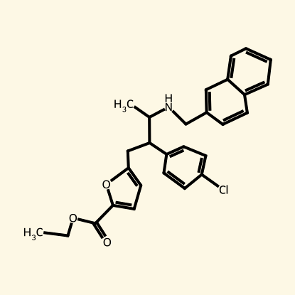 CCOC(=O)c1ccc(CC(c2ccc(Cl)cc2)C(C)NCc2ccc3ccccc3c2)o1